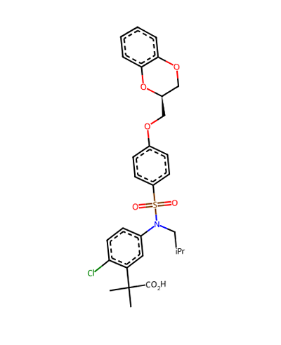 CC(C)CN(c1ccc(Cl)c(C(C)(C)C(=O)O)c1)S(=O)(=O)c1ccc(OC[C@@H]2COc3ccccc3O2)cc1